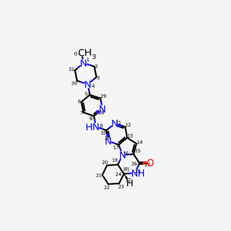 CN1CCN(c2ccc(Nc3ncc4cc5n(c4n3)C3CCCC[C@H]3NC5=O)nc2)CC1